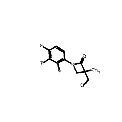 CC1(CCl)CN(c2ccc(F)[c]([Ti])c2F)C1=O